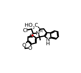 CC1(c2ccc3c(c2)OCO3)c2[nH]c3ccccc3c2C[C@H](C(=O)O)N1C(=O)CCl